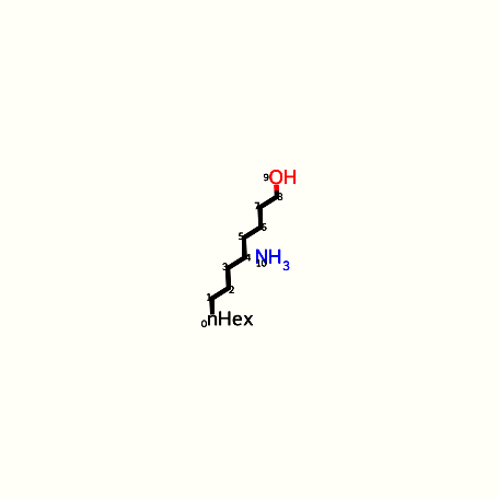 CCCCCCCCCCCCCCO.N